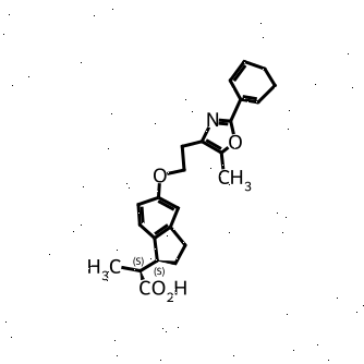 Cc1oc(C2=CCCC=C2)nc1CCOc1ccc2c(c1)CC[C@H]2[C@H](C)C(=O)O